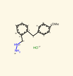 COc1ccc(Cc2ccccc2CNN)cc1.Cl